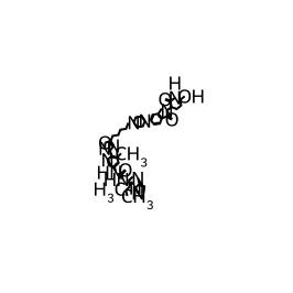 Cc1cc(NC(=O)Nc2cnc3ccnn3c2C(C)C)cnc1-c1noc(CCCCCN2CCN(c3ccc4c(c3)CN(C3CCC(O)NC3=O)C4=O)CC2)n1